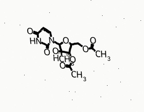 CC(=O)OCC1OC(n2ccc(=O)[nH]c2=O)[C@@](C)(O)[C@@H]1OC(C)=O